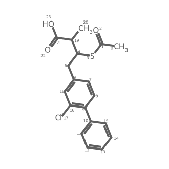 CC(=O)SC(Cc1ccc(-c2ccccc2)c(Cl)c1)C(C)C(=O)O